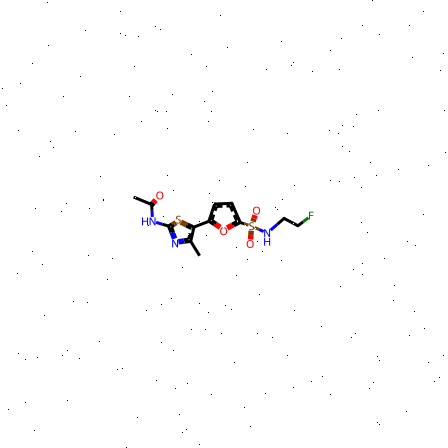 CC(=O)Nc1nc(C)c(-c2ccc(S(=O)(=O)NCCF)o2)s1